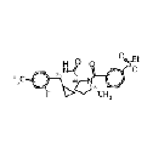 CCS(=O)(=O)c1cccc(C(=O)N2[C@H](C)CC[C@@H]2C(=O)N[C@@H](c2ccc(C(F)(F)F)cc2F)C2CC2)c1